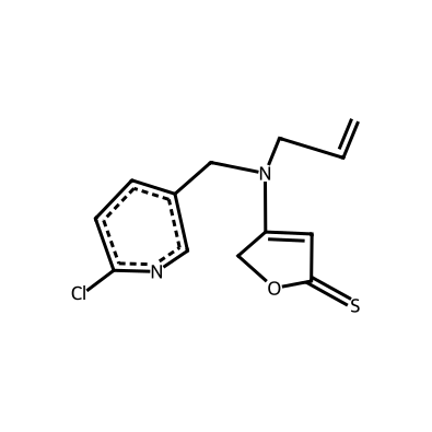 C=CCN(Cc1ccc(Cl)nc1)C1=CC(=S)OC1